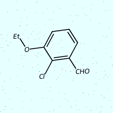 CCOc1cccc(C=O)c1Cl